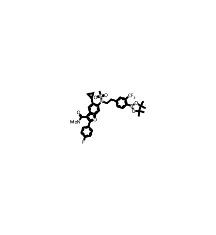 CNC(=O)c1c(-c2ccc(F)cc2)oc2cc(N(CCc3ccc(B4OC(C)(C)C(C)(C)O4)c(C(F)(F)F)c3)S(C)(=O)=O)c(C3CC3)cc12